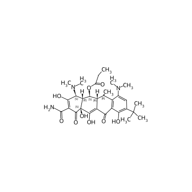 CCC(=O)O[C@H]1[C@H]2C(=C(O)[C@]3(O)C(=O)C(C(N)=O)=C(O)[C@@H](N(C)C)[C@H]13)C(=O)c1c(O)c(C(C)(C)C)cc(N(C)C)c1[C@@H]2C